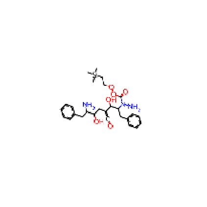 C[Si](C)(C)CCOOC(=O)N(N)C(Cc1ccccc1)C(O)C(=C=O)CC(O)C(N)Cc1ccccc1